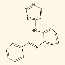 c1ccc(N=Nc2ccccc2Nc2ccnnn2)cc1